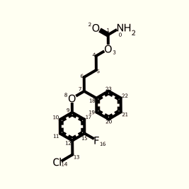 NC(=O)OCCCC(Oc1ccc(CCl)c(F)c1)c1ccccc1